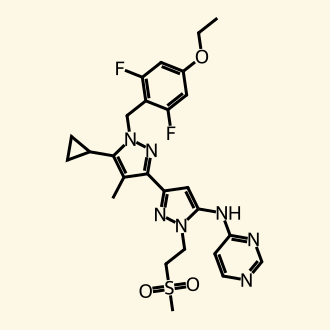 CCOc1cc(F)c(Cn2nc(-c3cc(Nc4ccncn4)n(CCS(C)(=O)=O)n3)c(C)c2C2CC2)c(F)c1